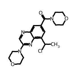 CC(Cl)c1cc(C(=O)N2CCOCC2)cc2ncc(N3CCOCC3)nc12